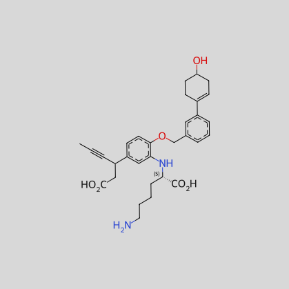 CC#CC(CC(=O)O)c1ccc(OCc2cccc(C3=CCC(O)CC3)c2)c(N[C@@H](CCCCN)C(=O)O)c1